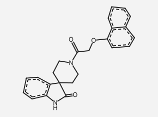 O=C(COc1cccc2ccccc12)N1CCC2(CC1)C(=O)Nc1ccccc12